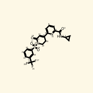 O=C(NC1CC1)c1cccc(C2=CC(=O)N(S(=O)(=O)c3cccc(C(F)(F)F)c3)CC2)n1